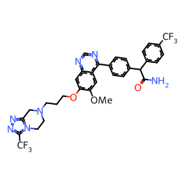 COc1cc2c(-c3ccc(C(C(N)=O)c4ccc(C(F)(F)F)cc4)cc3)ncnc2cc1OCCCN1CCn2c(nnc2C(F)(F)F)C1